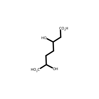 O=C(O)CC(O)CCC(O)C(=O)O